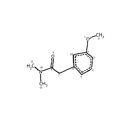 COc1[c]ccc(CC(=O)N(C)C)c1